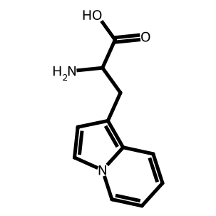 NC(Cc1ccn2ccccc12)C(=O)O